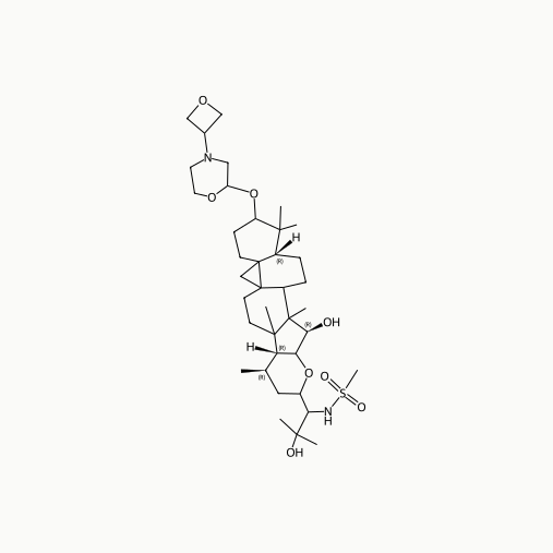 C[C@@H]1CC(C(NS(C)(=O)=O)C(C)(C)O)OC2[C@H]1C1(C)CCC34CC35CCC(OC3CN(C6COC6)CCO3)C(C)(C)[C@@H]5CCC4C1(C)[C@H]2O